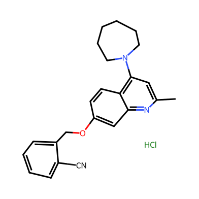 Cc1cc(N2CCCCCC2)c2ccc(OCc3ccccc3C#N)cc2n1.Cl